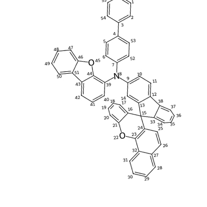 c1ccc(-c2ccc(N(c3ccc4c(c3)C3(c5ccccc5Oc5c3ccc3ccccc53)c3ccccc3-4)c3cccc4c3oc3ccccc34)cc2)cc1